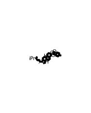 Cc1ccc(S(=O)(=O)O[C@H]2CC[C@@]3(C)C(=CC=C4[C@@H]5CC[C@H]([C@H](C)/C=C/[C@H](C)C(C)C)[C@@]5(C)CC[C@@H]43)C2)cc1